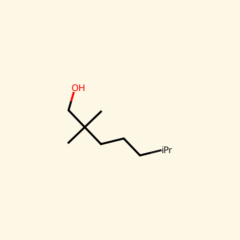 CC(C)CCCC(C)(C)CO